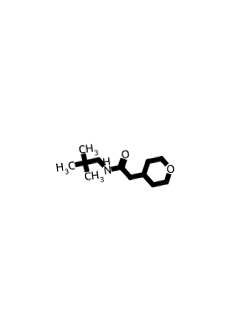 CC(C)(C)CNC(=O)CC1CCOCC1